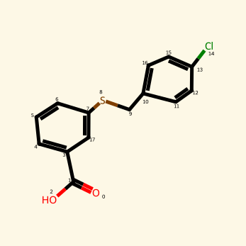 O=C(O)c1cccc(SCc2ccc(Cl)cc2)c1